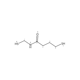 O=C(CCCS)NCS